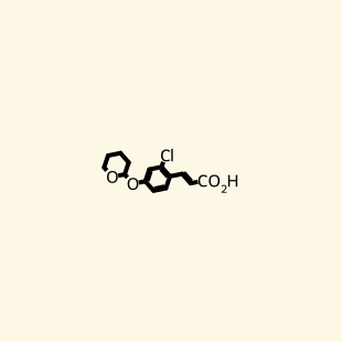 O=C(O)C=Cc1ccc(OC2CCCCO2)cc1Cl